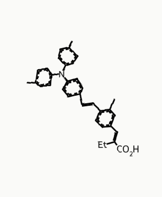 CC/C(=C\c1ccc(C=Cc2ccc(N(c3ccc(C)cc3)c3ccc(C)cc3)cc2)c(C)c1)C(=O)O